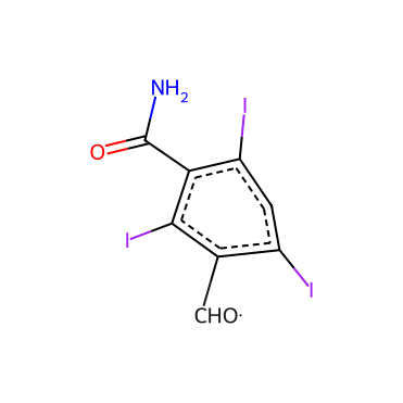 NC(=O)c1c(I)cc(I)c([C]=O)c1I